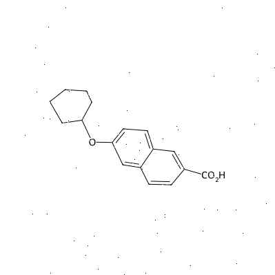 O=C(O)c1ccc2cc(OC3CCCCC3)ccc2c1